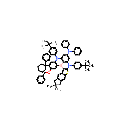 CC1(C)Cc2cc3sc4c(c3cc2C1)B1c2cc(OCc3ccccc3)c(C3(c5ccccc5)CCCCC3)cc2N(c2ccc(C(C)(C)C)cc2)c2cc(N(c3ccccc3)c3ccccc3)cc(c21)N4c1ccc(C(C)(C)C)cc1